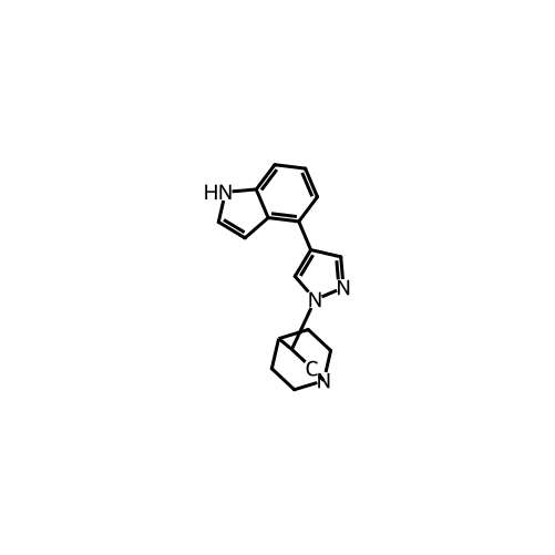 c1cc(-c2cnn(C3CN4CCC3CC4)c2)c2cc[nH]c2c1